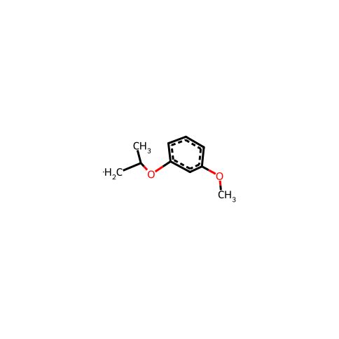 [CH2]C(C)Oc1cccc(OC)c1